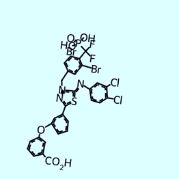 O=C(O)c1cccc(Oc2cccc(-c3nn(Cc4cc(Br)c(C(F)(F)P(=O)(O)O)c(Br)c4)c(=Nc4ccc(Cl)c(Cl)c4)s3)c2)c1